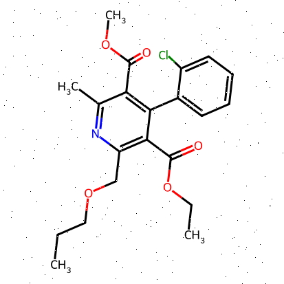 CCCOCc1nc(C)c(C(=O)OC)c(-c2ccccc2Cl)c1C(=O)OCC